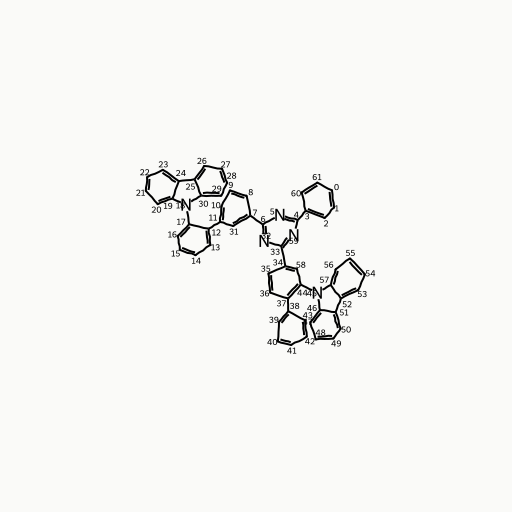 c1ccc(-c2nc(-c3cccc(-c4ccccc4-n4c5ccccc5c5ccccc54)c3)nc(-c3ccc(-c4ccccc4)c(-n4c5ccccc5c5ccccc54)c3)n2)cc1